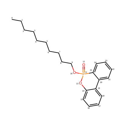 CCCCCCCCCCOP1(=O)Oc2ccccc2-c2ccccc21